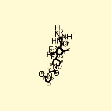 Cc1cc(C2CCN(C(=O)CN3CCCC3=O)CC2)c(C(F)(F)F)cc1C(=O)NC(=N)N